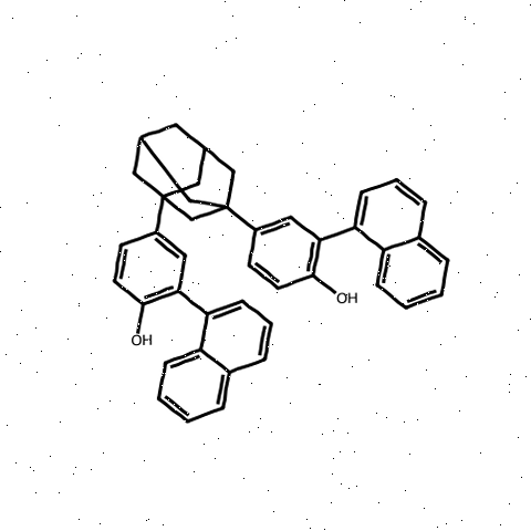 Oc1ccc(C23CC4CC(C2)CC(c2ccc(O)c(-c5cccc6ccccc56)c2)(C4)C3)cc1-c1cccc2ccccc12